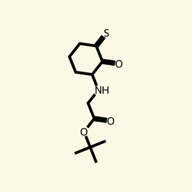 CC(C)(C)OC(=O)CNC1CCCC(=S)C1=O